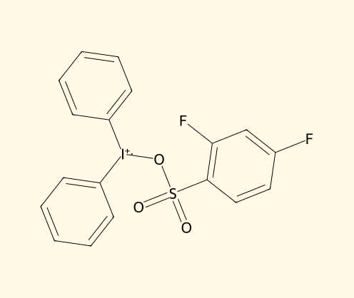 O=S(=O)(O[I+](c1ccccc1)c1ccccc1)c1ccc(F)cc1F